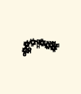 CC1(NCC2CCN(c3cccc(C4CCC(=O)NC4=O)c3)CC2)CCN(c2cnc(-c3cccc(Cl)c3Cl)c(N)n2)CC1